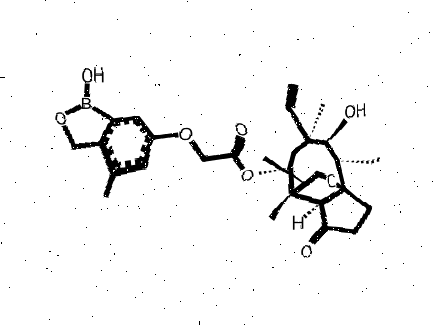 C=C[C@]1(C)C[C@@H](OC(=O)COc2cc(C)c3c(c2)B(O)OC3)[C@]2(C)[C@H](C)CC[C@]3(CCC(=O)[C@H]32)[C@@H](C)[C@@H]1O